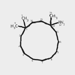 CC1(C)CCCCCCCCCC(C)(N)CC1